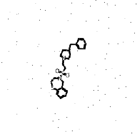 O=S(=O)(CCN1CCC(Cc2ccccc2)CC1)N1CCSc2ccccc2C1